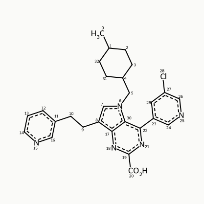 CC1CCC(Cn2cc(CCc3cccnc3)c3nc(C(=O)O)nc(-c4cncc(Cl)c4)c32)CC1